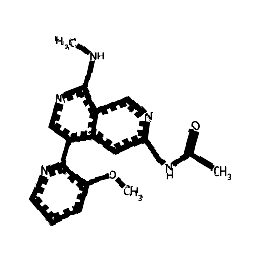 CNc1ncc(-c2ncccc2OC)c2cc(NC(C)=O)ncc12